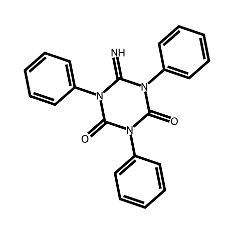 N=c1n(-c2ccccc2)c(=O)n(-c2ccccc2)c(=O)n1-c1ccccc1